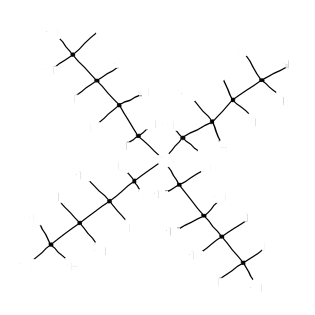 [2H]C([2H])([2H])C([2H])([2H])C([2H])([2H])[C]([2H])([2H])[Sn]([C]([2H])([2H])C([2H])([2H])C([2H])([2H])C([2H])([2H])[2H])([C]([2H])([2H])C([2H])([2H])C([2H])([2H])C([2H])([2H])[2H])[C]([2H])([2H])C([2H])([2H])C([2H])([2H])C([2H])([2H])[2H]